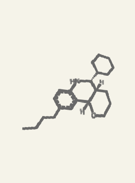 CCCCc1ccc2c(c1)[C@H]1OCCC[C@H]1[C@@H](C1CCCCC1)N2